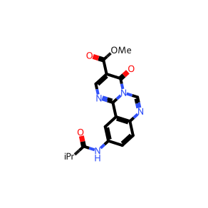 COC(=O)c1cnc2c3cc(NC(=O)C(C)C)ccc3ncn2c1=O